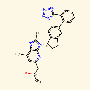 CCc1nc2c(C)cc(C[C@@H](C)O)nc2n1[C@H]1CCc2cc(-c3ccccc3-c3nnn[nH]3)ccc21